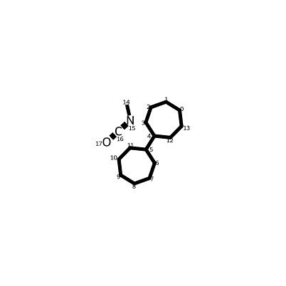 C1CCCC(C2CCCCCC2)CC1.CN=C=O